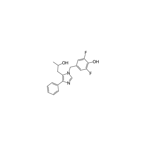 CC(O)Cc1c(-c2ccccc2)ncn1Cc1cc(F)c(O)c(F)c1